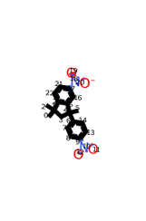 CC1(C)CC(C)(c2ccc([N+](=O)[O-])cc2)c2cc([N+](=O)[O-])ccc21